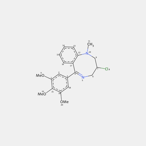 COc1cc(C2=NCC(Cl)CN(C)c3ccccc32)cc(OC)c1OC